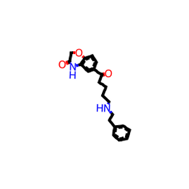 O=C1COc2ccc(C(=O)CCCCNCCc3ccccc3)cc2N1